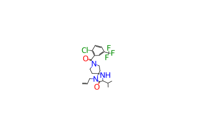 C=CCN1C(=O)C(C(C)C)NC12CCN(C(=O)c1cc(C(F)(F)F)ccc1Cl)CC2